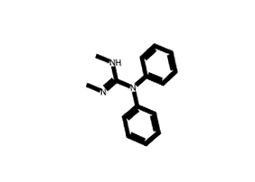 CN=C(NC)N(c1ccccc1)c1ccccc1